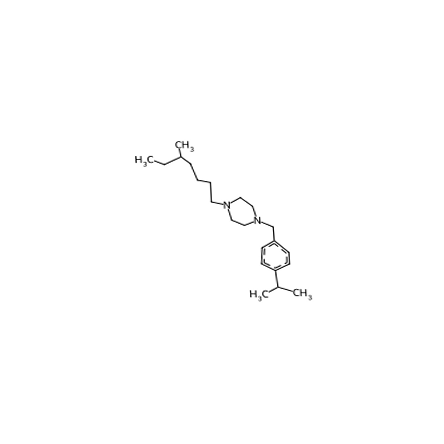 CCC(C)CCCCN1CCN(Cc2ccc(C(C)C)cc2)CC1